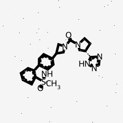 CS(=N)(=O)c1ccccc1-c1ccc(C2CN(C(=O)N3CC[C@H](c4ncn[nH]4)C3)C2)cc1